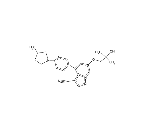 CC1CCN(c2ccc(-c3cc(OCC(C)(C)O)cn4ncc(C#N)c34)cn2)C1